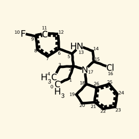 CCC1(CC)C(c2ccc(F)cc2)NCC(Cl)N1C1CCc2ccccc21